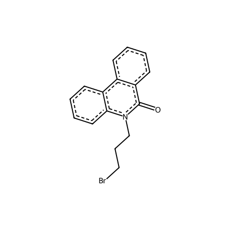 O=c1c2ccccc2c2ccccc2n1CCCBr